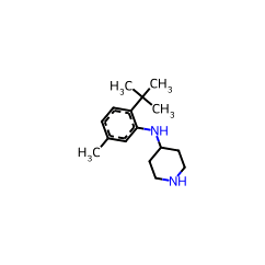 Cc1ccc(C(C)(C)C)c(NC2CCNCC2)c1